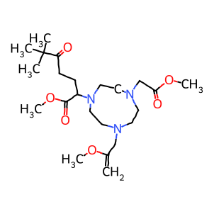 C=C(CN1CCN(CC(=O)OC)CCN(C(CCC(=O)C(C)(C)C)C(=O)OC)CC1)OC